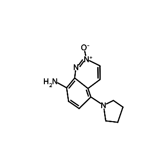 Nc1ccc(N2CCCC2)c2cc[n+]([O-])nc12